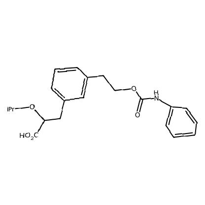 CC(C)OC(Cc1cccc(CCOC(=O)Nc2ccccc2)c1)C(=O)O